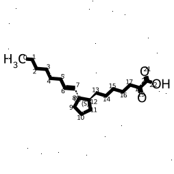 CCCCCCC=C[C@H]1CCC[C@@H]1CCCCCC(=O)C(=O)O